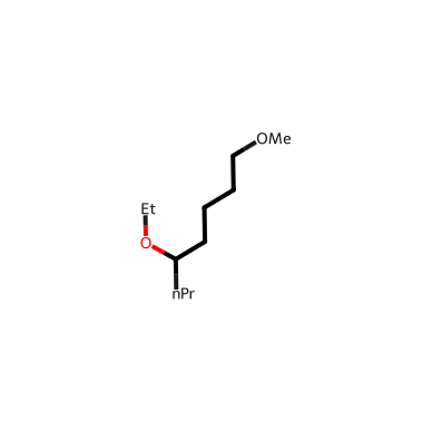 [CH2]CCC(CCCCOC)OCC